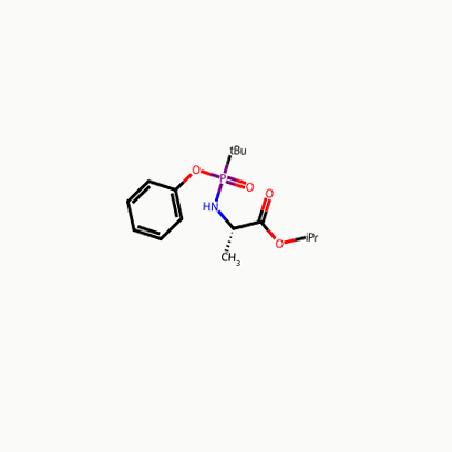 CC(C)OC(=O)[C@H](C)NP(=O)(Oc1ccccc1)C(C)(C)C